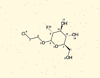 OC[C@H]1OC(OCCCl)[C@H](F)[C@@H](O)[C@@H]1O